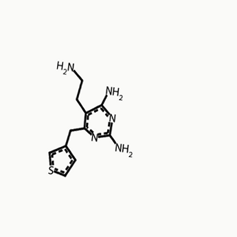 NCCc1c(N)nc(N)nc1Cc1ccsc1